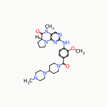 COc1cc(C(=O)N2CCC(N3CCN(C)CC3)CC2)ccc1Nc1ncc2c(n1)N1CCC[C@@H]1C(=O)N2C